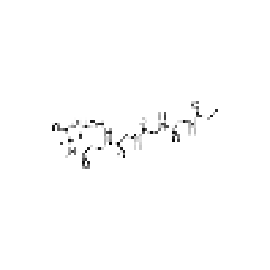 CCC(=O)NCC(=O)NCC(=O)NCC(=O)NCCC(=O)N(C)C(C)(CCO)C(=O)O